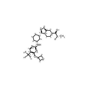 C[C@H](F)C(=O)N1CCn2c(nnc2[C@H]2CCC[C@@H](Nc3ncc(C(F)(F)F)c(OC4COC4)n3)C2)C1